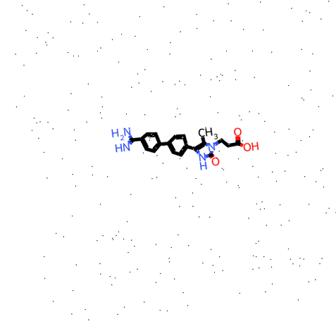 Cc1c(-c2ccc(-c3ccc(C(=N)N)cc3)cc2)[nH]c(=O)n1CCC(=O)O